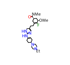 CCN1CCN([C@@H]2CC=C(NC3=NC=C(CCC4=C(F)[C@H](OC)C[C@H](C(=O)NC)C4)CN3)CC2)CC1